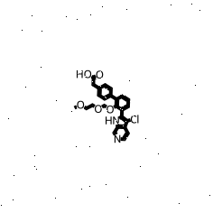 COCCOCOc1c(-c2ccc(CC(=O)O)cc2)cccc1-c1[nH]c2cnccc2c1Cl